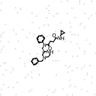 O=C(CCC(=O)N(C[C@@H]1CN(Cc2ccccc2)CCN1)c1ccccc1)NC1CC1